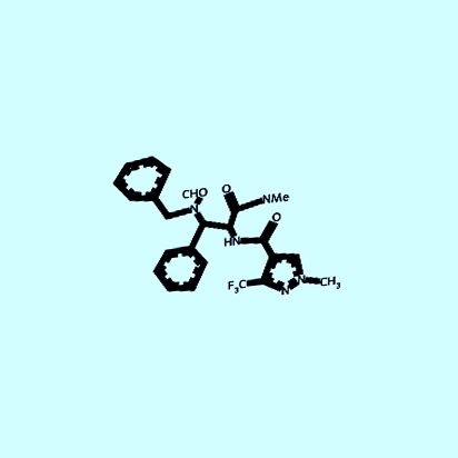 CNC(=O)C(NC(=O)c1cn(C)nc1C(F)(F)F)C(c1ccccc1)N(C=O)Cc1ccccc1